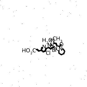 CN(C)c1cc(C(=O)N2CCCCC[C@H]2Br)nc2cc(-c3ncc(/C=C/C(=O)O)cc3Cl)nn12